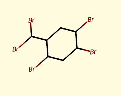 BrC(Br)C1CC(Br)C(Br)CC1Br